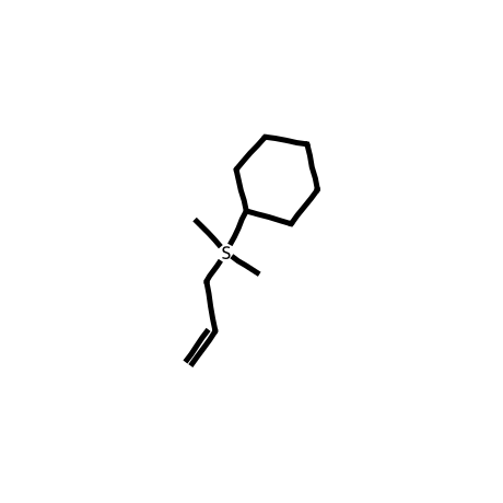 C=CCS(C)(C)C1CCCCC1